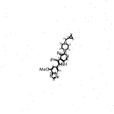 COc1cc(-c2[nH]c3cnc(N4CCN(CC5CC5)CC4)c(F)c3c2C(C)C)cn2ncnc12